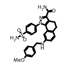 COc1ccc(CNc2ccc3c(c2)-c2c(c(C(N)=O)nn2-c2ccc(S(N)(=O)=O)cc2)CC3)cc1